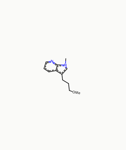 COCCCc1cn(C)c2ncccc12